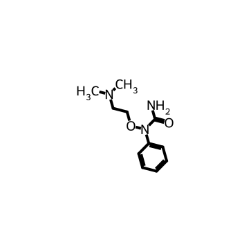 CN(C)CCON(C(N)=O)c1ccccc1